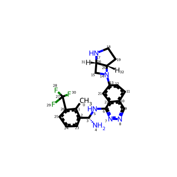 Cc1c([C@@H](N)Nc2nncc3ccc(N4C[C@@H]5NCC[C@@H]54)cc23)cccc1C(F)(F)F